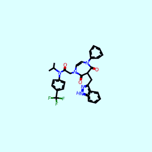 CC(C)N(C(=O)CN1C=CN(c2ccccc2)C(=O)C(Cc2n[nH]c3ccccc23)C1=O)c1ccc(C(F)(F)F)cc1